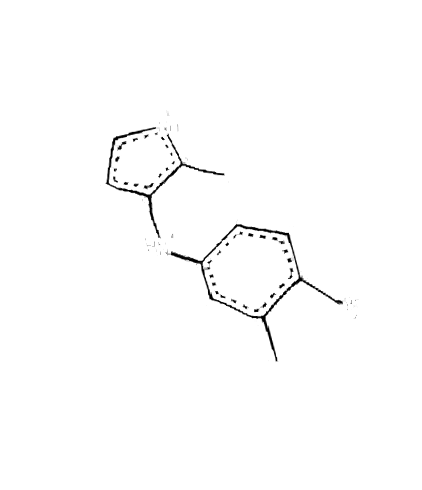 Cc1cc(Nc2cc[nH]c2C)ccc1Br